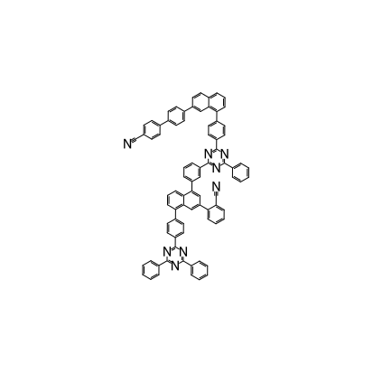 N#Cc1ccc(-c2ccc(-c3ccc4cccc(-c5ccc(-c6nc(-c7ccccc7)nc(-c7cccc(-c8cc(-c9ccccc9C#N)cc9c(-c%10ccc(-c%11nc(-c%12ccccc%12)nc(-c%12ccccc%12)n%11)cc%10)cccc89)c7)n6)cc5)c4c3)cc2)cc1